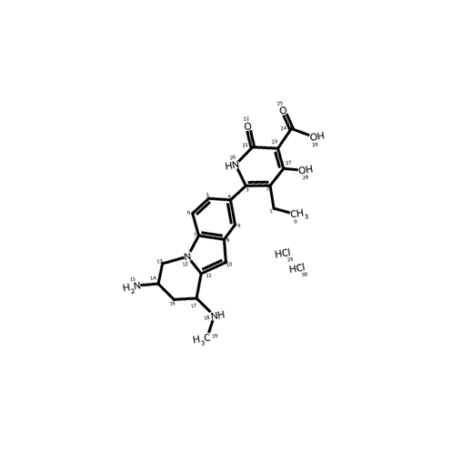 CCc1c(-c2ccc3c(c2)cc2n3CC(N)CC2NC)[nH]c(=O)c(C(=O)O)c1O.Cl.Cl